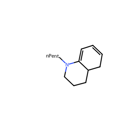 CCCCCN1CCCC2CC=CC=C21